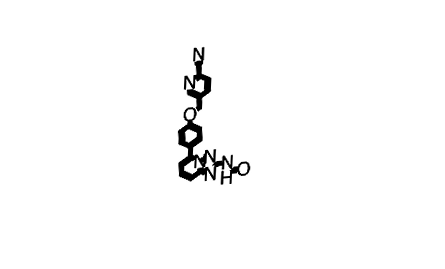 N#Cc1ccc(COc2ccc(-c3cccc4nc(NC=O)nn34)cc2)cn1